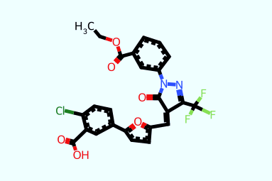 CCOC(=O)c1cccc(N2N=C(C(F)(F)F)/C(=C/c3ccc(-c4ccc(Cl)c(C(=O)O)c4)o3)C2=O)c1